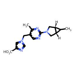 Cc1nc(N2C[C@@H]3C(C)[C@@H]3C2)ncc1Cn1cnc(C(=O)O)c1